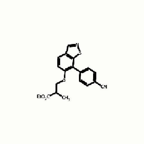 CCOC(=O)C(C)CSc1ccc2cnsc2c1-c1ccc(C#N)cc1